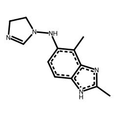 Cc1nc2c(C)c(NN3C=NCC3)ccc2[nH]1